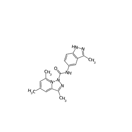 Cc1cc(C)[n+]2c(c1)c(C)nn2C(=O)Nc1ccc2[nH]nc(C)c2c1